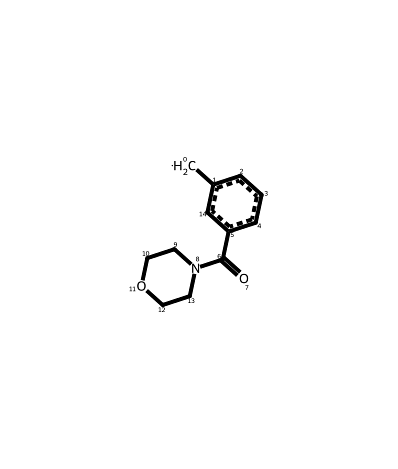 [CH2]c1cccc(C(=O)N2CCOCC2)c1